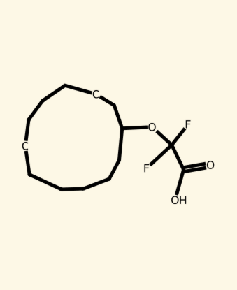 O=C(O)C(F)(F)OC1CCCCCCCCCCC1